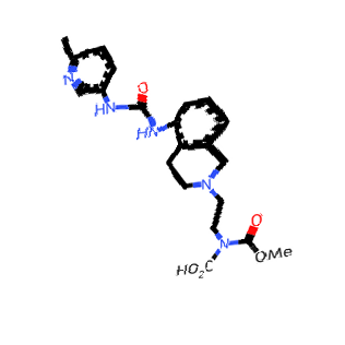 COC(=O)N(CCN1CCc2c(cccc2NC(=O)Nc2ccc(C)nc2)C1)C(=O)O